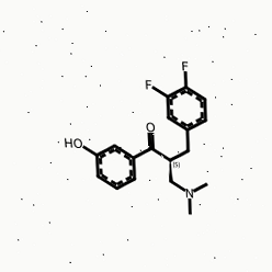 CN(C)C[C@H](Cc1ccc(F)c(F)c1)C(=O)c1cccc(O)c1